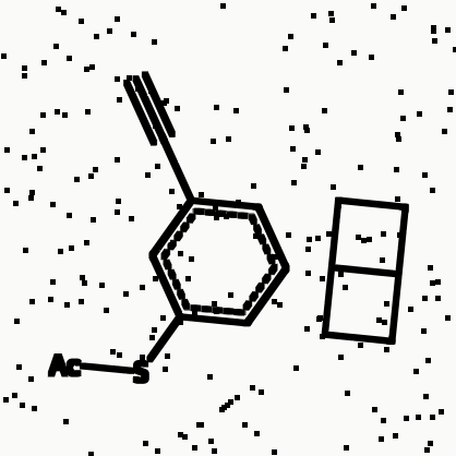 C#Cc1cccc(SC(C)=O)c1.C1CC2CCC12